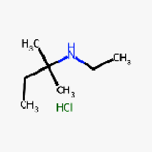 CCNC(C)(C)CC.Cl